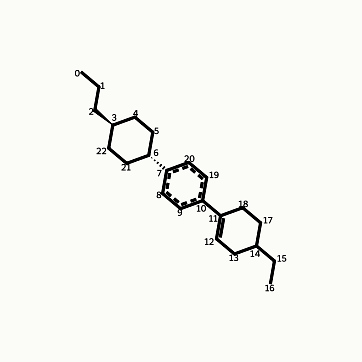 CCC[C@H]1CC[C@H](c2ccc(C3=CCC(CC)CC3)cc2)CC1